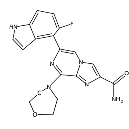 NC(=O)c1cn2cc(-c3c(F)ccc4[nH]ccc34)nc(N3CCOCC3)c2n1